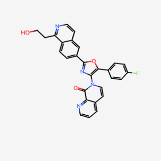 O=c1c2ncccc2ccn1-c1nc(-c2ccc3c(CCO)nccc3c2)oc1-c1ccc(F)cc1